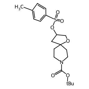 Cc1ccc(S(=O)(=O)OC2COC3(CCN(C(=O)OC(C)(C)C)CC3)C2)cc1